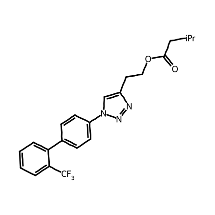 CC(C)CC(=O)OCCc1cn(-c2ccc(-c3ccccc3C(F)(F)F)cc2)nn1